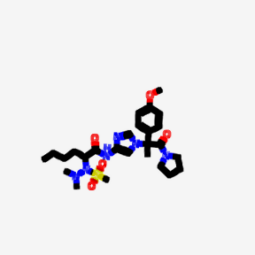 CCCCC(C(=O)Nc1cn(C(C)(C(=O)N2CCCC2)c2ccc(OC)cc2)cn1)N(N(C)C)S(C)(=O)=O